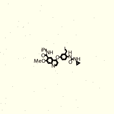 COc1cc2nccc(Oc3ccc(NC(=O)NC4CC4)c(CI)c3)c2cc1C(=O)NC(C)C